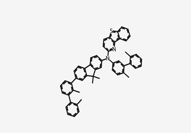 Cc1ccccc1-c1cc(N(c2ccc3c(c2)C(C)(C)c2cc(-c4cccc(-c5ccccc5C)c4C)ccc2-3)c2ccc3sc4ccccc4c3n2)ccc1C